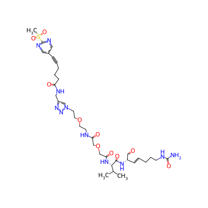 CC(C)[C@H](NC(=O)COCC(=O)NCCOCCn1cc(CNC(=O)CCCC#Cc2cnc(S(C)(=O)=O)nc2)nn1)C(=O)N[C@H](C=O)/C=C/CCCNC(N)=O